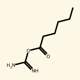 CCCCCC(=O)OC(=N)N